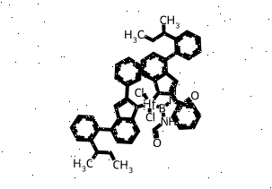 CCC(C)c1ccccc1-c1cccc2c1C=C(c1ccccc1)[CH]2[Hf]([Cl])([Cl])([B](NC=O)NC=O)[CH]1C(c2ccccc2)=Cc2c(-c3ccccc3C(C)CC)cccc21